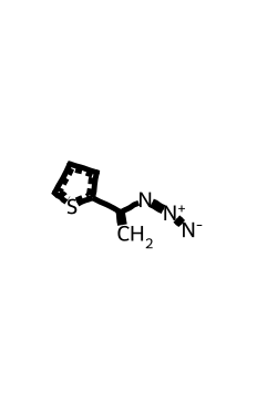 C=C(N=[N+]=[N-])c1cccs1